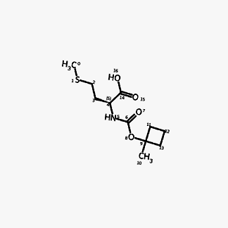 CSCC[C@H](NC(=O)OC1(C)CCC1)C(=O)O